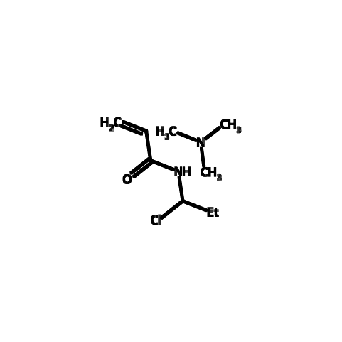 C=CC(=O)NC(Cl)CC.CN(C)C